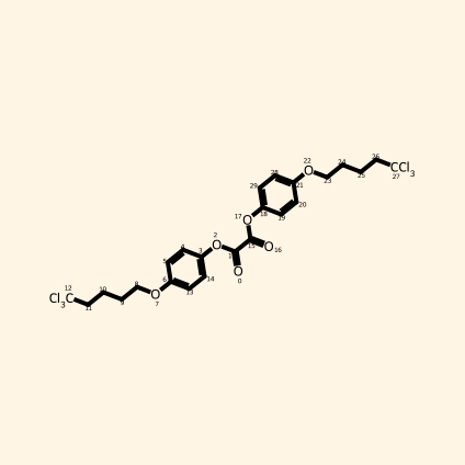 O=C(Oc1ccc(OCCCCC(Cl)(Cl)Cl)cc1)C(=O)Oc1ccc(OCCCCC(Cl)(Cl)Cl)cc1